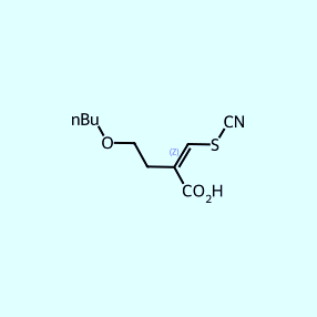 CCCCOCC/C(=C/SC#N)C(=O)O